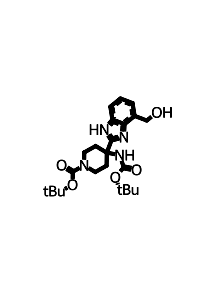 CC(C)(C)OC(=O)NC1(c2nc3c(CO)cccc3[nH]2)CCN(C(=O)OC(C)(C)C)CC1